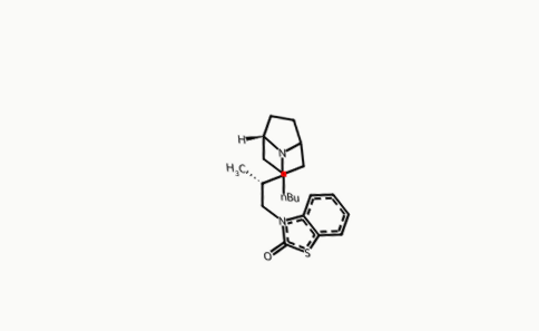 CCCCC1CC2CC[C@@H](C1)N2C[C@@H](C)Cn1c(=O)sc2ccccc21